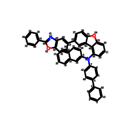 c1ccc(-c2ccc(N(c3ccc4ccccc4c3)c3cccc4oc5ccc(-c6ccc7oc(-c8ccccc8)nc7c6)cc5c34)cc2)cc1